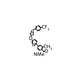 CNC(=O)c1ccc(-c2ccc(OC3CN(Cc4ccc(C(F)(F)F)cc4)C3)cn2)cc1C